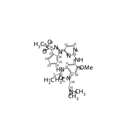 C=CC(=O)Nc1cc(Nc2nccc(-n3nc(S(C)(=O)=O)c4ccccc43)n2)c(OC)cc1N(C)CCN(C)C